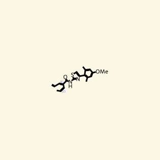 C=C/C=C(\C=C/C)C(=O)Nc1nc(-c2c(C)cc(OC)cc2C)cs1